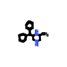 CC1CNCC(C(c2ccccc2)c2ccccc2)N1